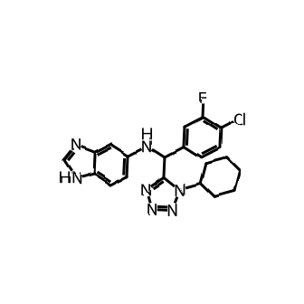 Fc1cc(C(Nc2ccc3[nH]cnc3c2)c2nnnn2C2CCCCC2)ccc1Cl